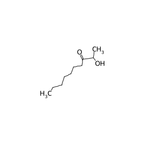 CCCCCCCC(=O)C(C)O